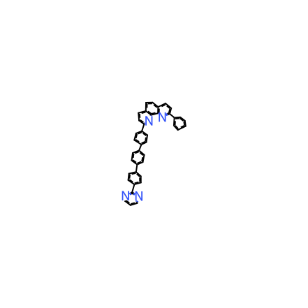 c1ccc(-c2ccc3ccc4ccc(-c5ccc(-c6ccc(-c7ccc(-c8ncccn8)cc7)cc6)cc5)nc4c3n2)cc1